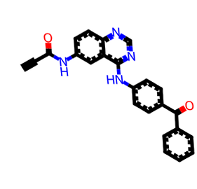 C#CC(=O)Nc1ccc2ncnc(Nc3ccc(C(=O)c4ccccc4)cc3)c2c1